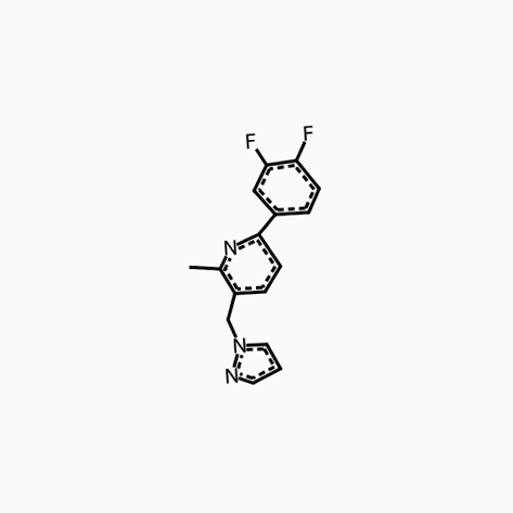 Cc1nc(-c2ccc(F)c(F)c2)ccc1Cn1cccn1